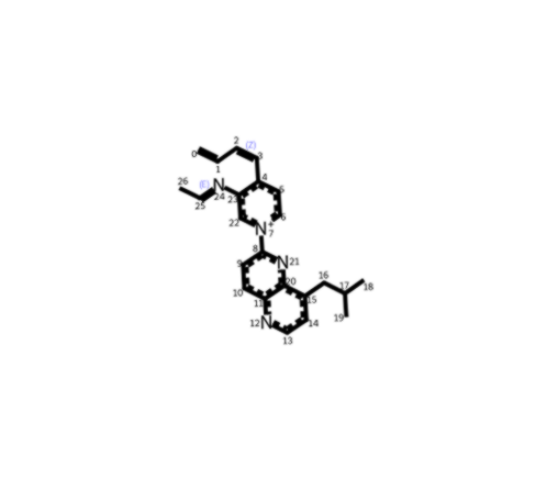 C=C/C=C\c1cc[n+](-c2ccc3nccc(CC(C)C)c3n2)cc1/N=C/C